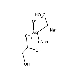 CC(=O)[O-].CC(O)CO.CCCCCCCCCCCC(=O)O.[Na+]